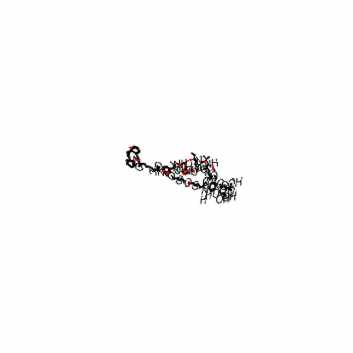 CC[C@H](C)[C@@H]([C@@H](CC(=O)N1CCC[C@H]1[C@H](OC)[C@@H](C)C(=O)N[C@H](C)[C@@H](O)c1ccccc1)OC)N(C)C(=O)[C@@H](NC(=O)[C@H](C(C)C)N(C)C(=O)OCc1cc(NC(=O)CCOCCOCCOCCOCCNC(=O)CCCCC(=O)N2Cc3ccccc3C#Cc3ccccc32)ccc1OC1OC(C(=O)O)C(O)C(O)C1O)C(C)C